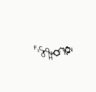 O=C(ON[C@@H]1CC[C@H](Cn2cncn2)C1)C(F)(F)F